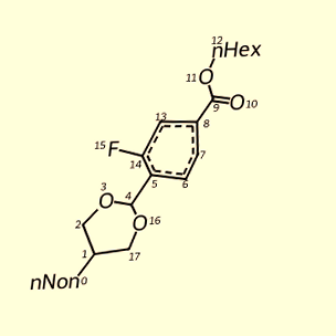 CCCCCCCCCC1COC(c2ccc(C(=O)OCCCCCC)cc2F)OC1